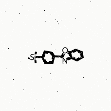 C[Si](C)(C)c1ccc(-c2nc3ccccc3o2)cc1